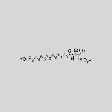 O=C(O)CC[C@H](NC(=O)CCCCCCCCCCCCCCCO)C(=O)O